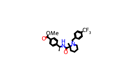 COC(=O)c1ccc([C@H](C)NC(=O)C2(C)CCCCN2Cc2ccc(C(F)(F)F)cc2)cc1